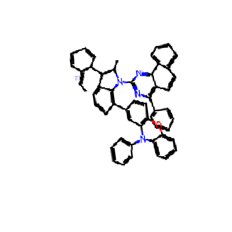 C/C=C1/C=CC=CC1C1c2cccc(-c3ccc4c(c3)N(c3ccccc3)c3ccccc3O4)c2N(c2nc(-c3ccccc3)c3ccc4ccccc4c3n2)C1C